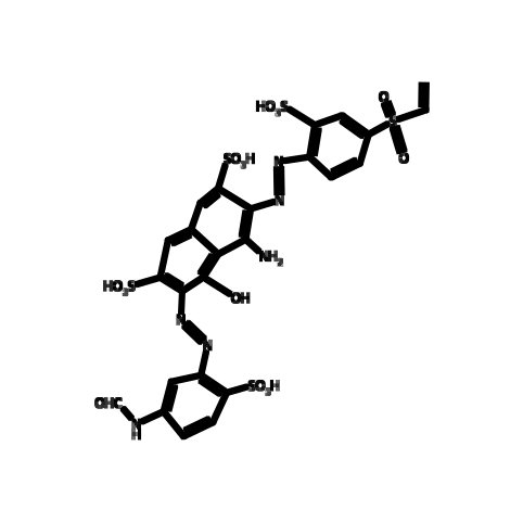 C=CS(=O)(=O)c1ccc(/N=N/c2c(S(=O)(=O)O)cc3cc(S(=O)(=O)O)c(/N=N/c4cc(NC=O)ccc4S(=O)(=O)O)c(O)c3c2N)c(S(=O)(=O)O)c1